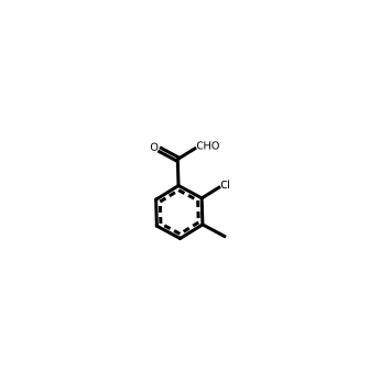 Cc1cccc(C(=O)C=O)c1Cl